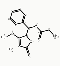 Br.COC1=CC(=O)OC1C(OC(=O)CN)c1ccccc1